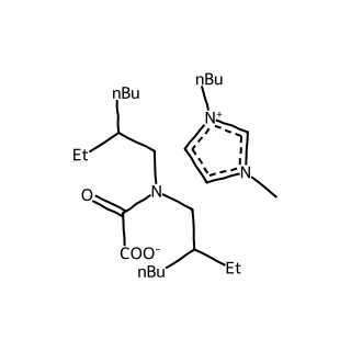 CCCCC(CC)CN(CC(CC)CCCC)C(=O)C(=O)[O-].CCCC[n+]1ccn(C)c1